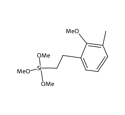 COc1c(C)cccc1CC[Si](OC)(OC)OC